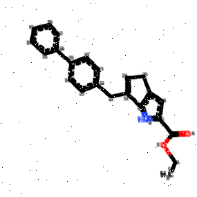 CCOC(=O)c1cc2c([nH]1)C(Cc1ccc(-c3ccccc3)cc1)=CC2